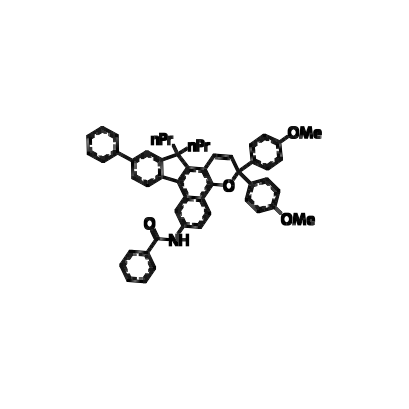 CCCC1(CCC)c2cc(-c3ccccc3)ccc2-c2c1c1c(c3ccc(NC(=O)c4ccccc4)cc23)OC(c2ccc(OC)cc2)(c2ccc(OC)cc2)C=C1